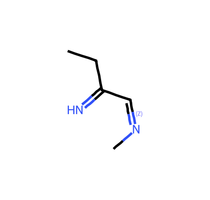 CCC(=N)/C=N\C